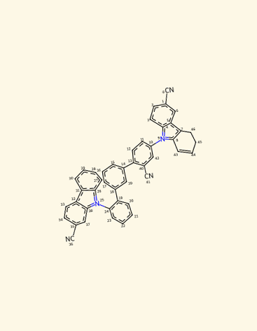 N#Cc1ccc2c(c1)c1c(n2-c2ccc(-c3cccc(-c4ccccc4-n4c5ccccc5c5ccc(C#N)cc54)c3)c(C#N)c2)C=CCC1